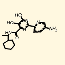 CC(NC(=O)c1nc(-c2ccc(N)cn2)nc(O)c1O)C1CCCCC1